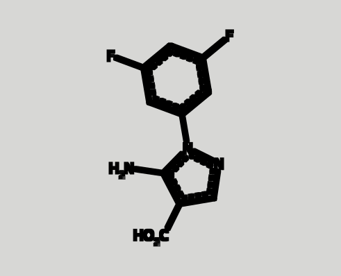 Nc1c(C(=O)O)cnn1-c1cc(F)cc(F)c1